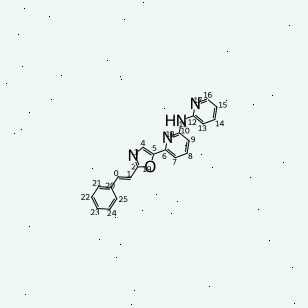 C(=Cc1ncc(-c2cccc(Nc3ccccn3)n2)o1)c1ccccc1